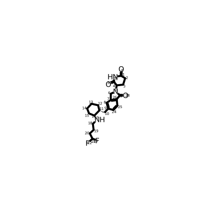 O=C1CCC(N2Cc3cc(C[C@H]4CCCC[C@@H]4NCCCC(F)F)ccc3C2=O)C(=O)N1